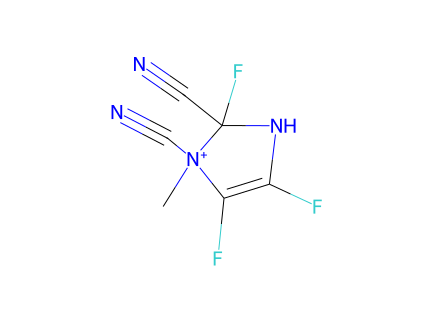 C[N+]1(C#N)C(F)=C(F)NC1(F)C#N